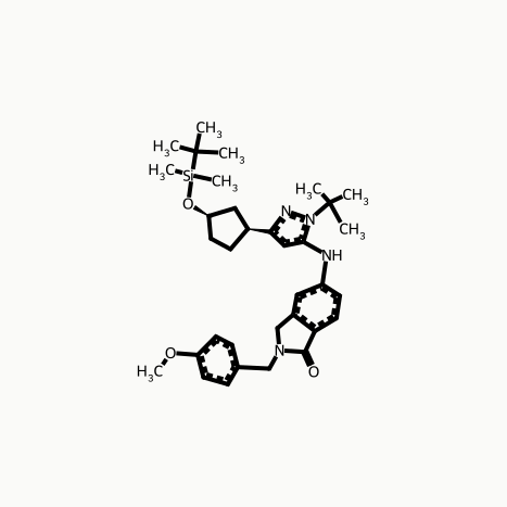 COc1ccc(CN2Cc3cc(Nc4cc([C@H]5CC[C@@H](O[Si](C)(C)C(C)(C)C)C5)nn4C(C)(C)C)ccc3C2=O)cc1